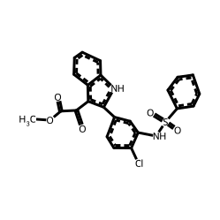 COC(=O)C(=O)c1c(-c2ccc(Cl)c(NS(=O)(=O)c3ccccc3)c2)[nH]c2ccccc12